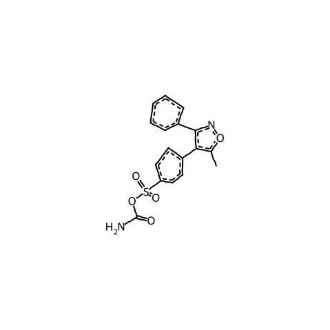 Cc1onc(-c2ccccc2)c1-c1ccc(S(=O)(=O)OC(N)=O)cc1